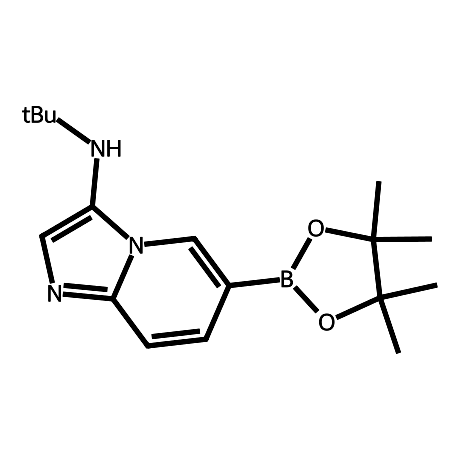 CC(C)(C)Nc1cnc2ccc(B3OC(C)(C)C(C)(C)O3)cn12